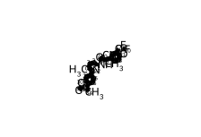 Cc1ccc(NC(=O)C(C)(C)c2ccc3c(c2)OC(F)(F)O3)nc1-c1ccc2c(c1)oc(=O)n2C